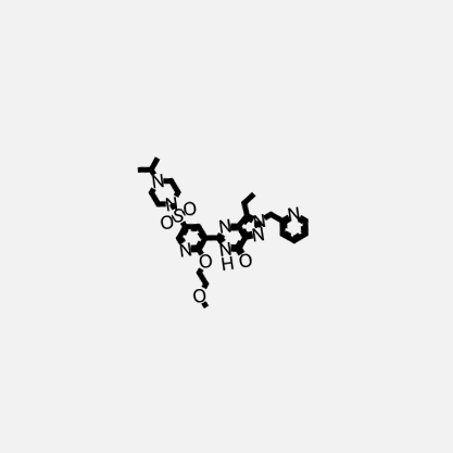 CCc1c2nc(-c3cc(S(=O)(=O)N4CCN(C(C)C)CC4)cnc3OCCOC)[nH]c(=O)c2nn1Cc1ccccn1